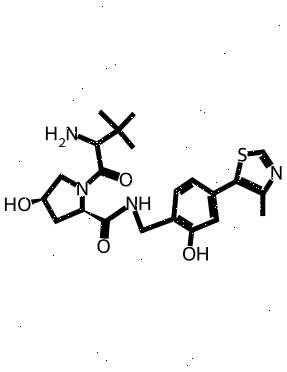 Cc1ncsc1-c1ccc(CNC(=O)[C@H]2C[C@@H](O)CN2C(=O)C(N)C(C)(C)C)c(O)c1